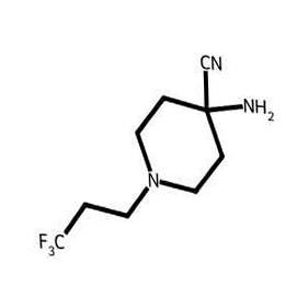 N#CC1(N)CCN(CCC(F)(F)F)CC1